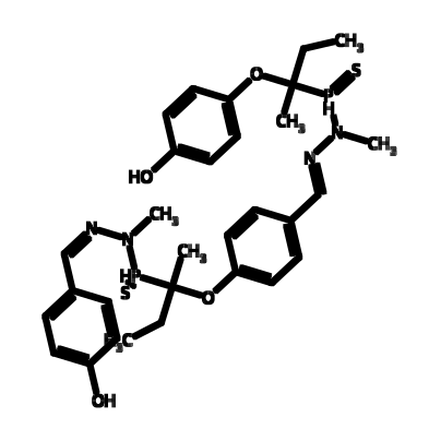 CCC(C)(Oc1ccc(O)cc1)[PH](=S)N(C)N=Cc1ccc(OC(C)(CC)[PH](=S)N(C)N=Cc2ccc(O)cc2)cc1